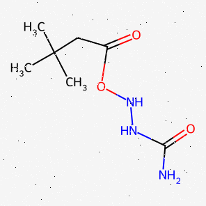 CC(C)(C)CC(=O)ONNC(N)=O